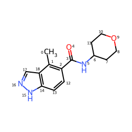 Cc1c(C(=O)NC2CCOCC2)ccc2[nH]ncc12